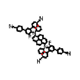 N#Cc1ccc(-c2cc(F)c(N(c3ccccc3)c3ccc4ccc5c(N(c6ccccc6)c6c(F)cc(-c7ccc(C#N)cc7)cc6-c6ccc(C#N)cc6)ccc6ccc3c4c65)c(-c3ccc(C#N)cc3)c2)cc1